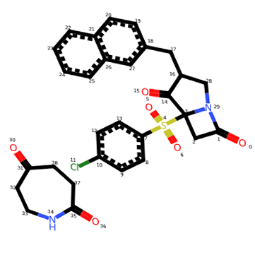 O=C1CC2(S(=O)(=O)c3ccc(Cl)cc3)C(=O)C(Cc3ccc4ccccc4c3)CN12.O=C1CCNC(=O)CC1